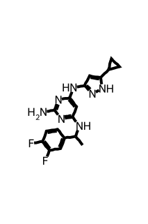 CC(Nc1cc(Nc2cc(C3CC3)[nH]n2)nc(N)n1)c1ccc(F)c(F)c1